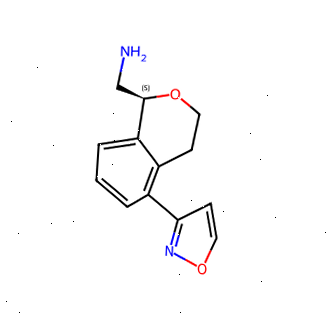 NC[C@H]1OCCc2c(-c3ccon3)cccc21